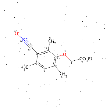 CCOC(=O)COc1c(C)cc(C)c(C#[N+][O-])c1C